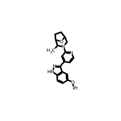 CC(C)Oc1ccc2[nH]nc(-c3ccnc(N4CC5CCC(O5)C4C)c3)c2c1